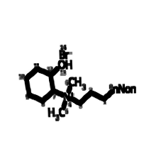 CCCCCCCCCCCC[N+](C)(C)C1CCCCC1O.[Br-]